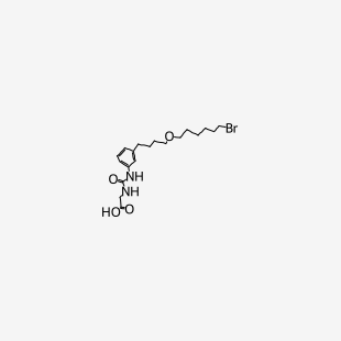 O=C(O)CNC(=O)Nc1cccc(CCCCOCCCCCCBr)c1